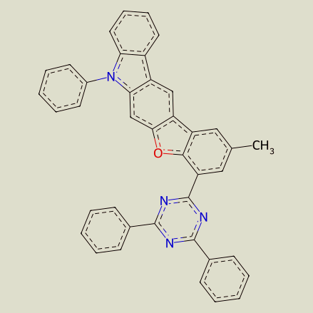 Cc1cc(-c2nc(-c3ccccc3)nc(-c3ccccc3)n2)c2oc3cc4c(cc3c2c1)c1ccccc1n4-c1ccccc1